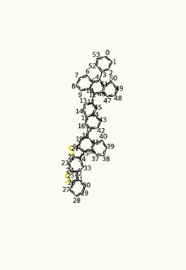 c1ccc(-c2c3ccccc3c(-c3ccc4cc(-c5cc6sc7cc8sc9ccccc9c8cc7c6c6ccccc56)ccc4c3)c3ccccc23)cc1